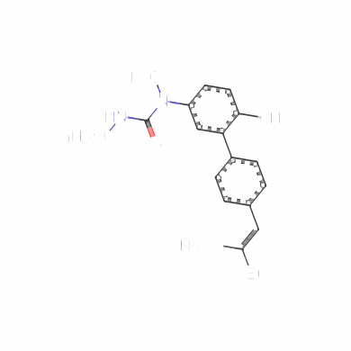 CCCCCCCNC(=O)N(C)c1ccc(C)c(-c2ccc(C=C(CC)C(=O)O)cc2)c1